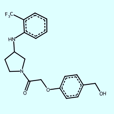 O=C(COc1ccc(CO)cc1)N1CCC(Nc2ccccc2C(F)(F)F)C1